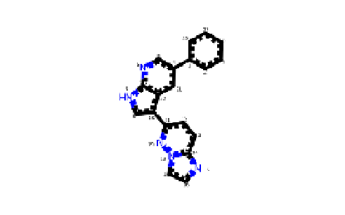 c1ccc(-c2cnc3[nH]cc(-c4ccc5nccn5n4)c3c2)cc1